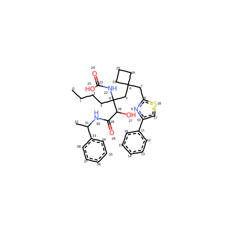 CCCCC(CC1(Cc2nc(-c3ccccc3)cs2)CCC1)(NC(=O)O)C(O)C(=O)NC(C)c1ccccc1